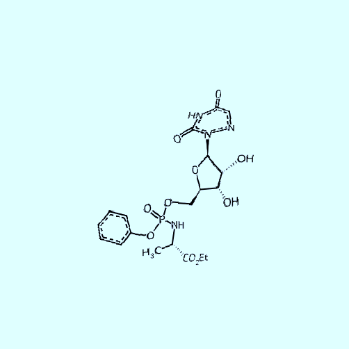 CCOC(=O)[C@H](C)NP(=O)(OC[C@H]1O[C@@H](n2ncc(=O)[nH]c2=O)[C@H](O)[C@@H]1O)Oc1ccccc1